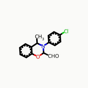 CC1c2ccccc2OC(C=O)N1c1ccc(Cl)cc1